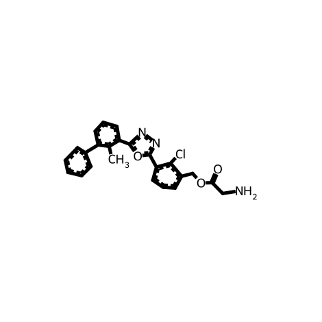 Cc1c(-c2ccccc2)cccc1-c1nnc(-c2cccc(COC(=O)CN)c2Cl)o1